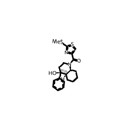 CSc1nc(C(=O)N2CC[C@@](O)(c3ccccc3)[C@H]3CCCCC32)cs1